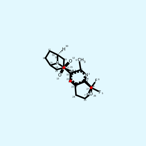 Cc1nc(C(F)(F)F)ccc1S(=O)(=O)N1C2CC[C@H]1CC(NCC1CCOCC1)C2